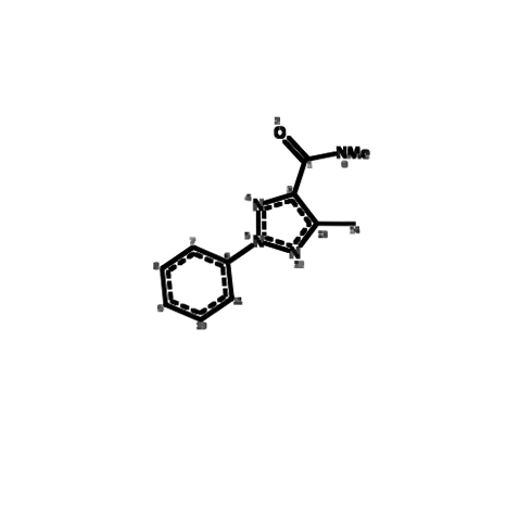 CNC(=O)c1nn(-c2ccccc2)nc1C